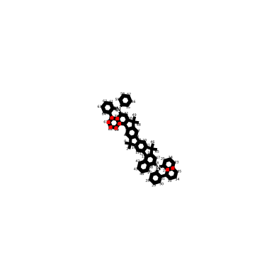 CC1(C)c2cc3c(cc2-c2cc4c(cc21)-c1c(cc(N(c2ccccc2)c2ccccc2-c2ccccc2)c2ccccc12)C4(C)C)C(C)(C)c1cc(N(c2ccccc2)c2ccccc2-c2ccccc2)c2ccccc2c1-3